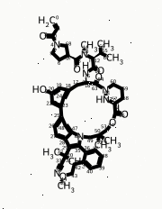 C=CC(=O)N1CC[C@H](C(=O)N(C)[C@H](C(=O)N[C@H]2Cc3cc(O)cc(c3)-c3ccc4c(C(C)(C)C#N)c(-c5ccccc5CCOC)n(c4c3)CC(C)(C)COC(=O)[C@@H]3CCCN(N3)C2=O)C(C)C)C1